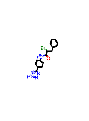 O=C(Nc1ccc(-c2nn[nH]n2)cc1)C(Br)Cc1ccccc1